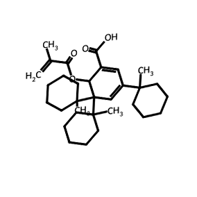 C=C(C)C(=O)OC1C(C(=O)O)=CC(C2(C)CCCCC2)=CC1(C1(C)CCCCC1)C1(C)CCCCC1